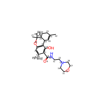 CCCCCc1cc2c(c(O)c1C(=O)NCCN1CCOCC1)C1C=C(C)CC[C@H]1C(C)(C)O2